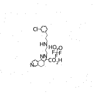 O=C(O)C(F)(F)F.O=C(O)c1c2c(nn1CCCNCCCc1cccc(Cl)c1)-c1ccncc1CC2